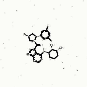 O=C(c1n[nH]c2ncnc(N[C@@H]3CCC[C@@H](O)[C@H]3O)c12)N1C[C@@H](F)C[C@@H]1c1cc(F)cc(Cl)c1